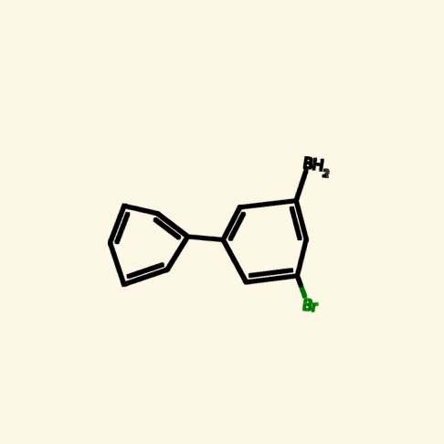 Bc1cc(Br)cc(-c2ccccc2)c1